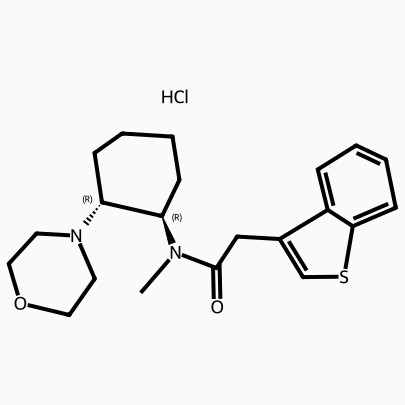 CN(C(=O)Cc1csc2ccccc12)[C@@H]1CCCC[C@H]1N1CCOCC1.Cl